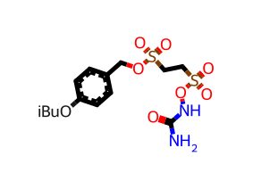 CC(C)COc1ccc(COS(=O)(=O)CCS(=O)(=O)ONC(N)=O)cc1